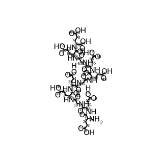 N[C@@H](CCC(=O)O)C(=O)N[C@@H](CCC(=O)O)C(=O)NCC(=O)N[C@@H](CCC(=O)O)C(=O)N[C@@H](CCC(=O)O)C(=O)NCC(=O)N[C@@H](CCC(=O)O)C(=O)N[C@@H](CCC(=O)O)C(=O)NCC(=O)N[C@@H](CCC(=O)O)C(=O)N[C@@H](CCC(=O)O)C(=O)O